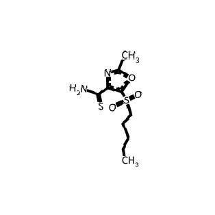 CCCCCS(=O)(=O)c1oc(C)nc1C(N)=S